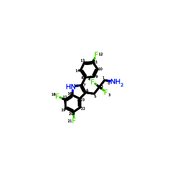 NCC(F)(F)Cc1c(-c2ccc(F)cc2)[nH]c2c(F)cc(F)cc12